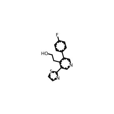 OCCc1c(-c2ccc(F)cc2)cncc1-c1nccs1